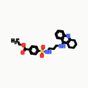 CCOC(=O)c1ccc(S(=O)(=O)NCCCNc2c3c(nc4ccccc24)CCCC3)cc1